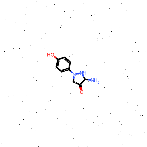 NC1NN(c2ccc(O)cc2)CC1=O